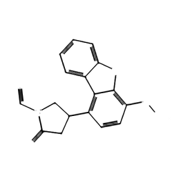 COc1ccc(C2CC(=O)N(C=O)C2)c2c1oc1ccccc12